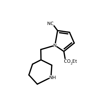 CCOC(=O)c1ccc(C#N)n1CC1CCCNC1